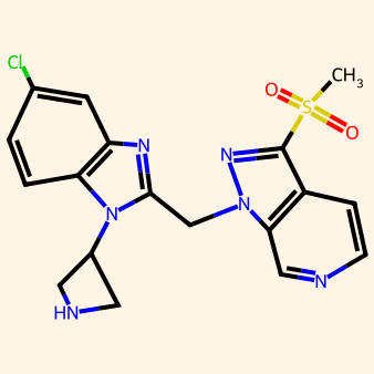 CS(=O)(=O)c1nn(Cc2nc3cc(Cl)ccc3n2C2CNC2)c2cnccc12